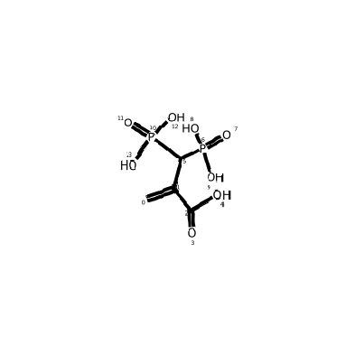 C=C(C(=O)O)C(P(=O)(O)O)P(=O)(O)O